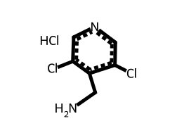 Cl.NCc1c(Cl)cncc1Cl